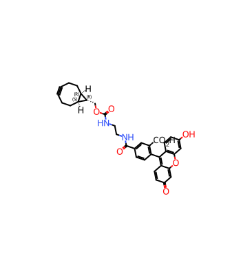 O=C(NCCNC(=O)c1ccc(-c2c3ccc(=O)cc-3oc3cc(O)ccc23)c(C(=O)O)c1)OC[C@H]1[C@@H]2CCC#CCC[C@@H]21